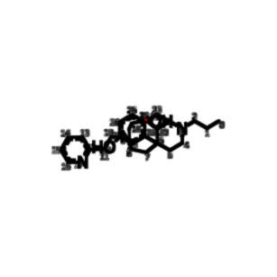 CCCN1CCC23CCN(CCc4ccccn4)CCC2(O)C1Cc1ccc(O)cc13